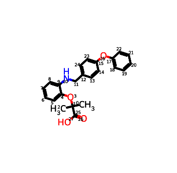 CC(C)(Oc1ccccc1NCc1ccc(Oc2ccccc2)cc1)C(=O)O